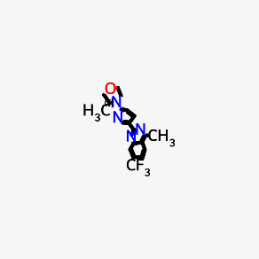 Cc1nc(-c2ccc(N3CCOC[C@@H]3C)nc2)nc2cc(C(F)(F)F)ccc12